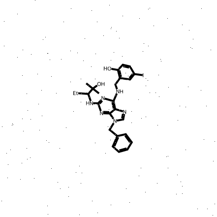 CCC(Nc1nc(NCc2cc(I)ccc2O)c2ncn(Cc3ccccc3)c2n1)C(C)(C)O